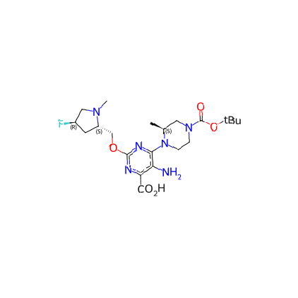 C[C@H]1CN(C(=O)OC(C)(C)C)CCN1c1nc(OC[C@@H]2C[C@@H](F)CN2C)nc(C(=O)O)c1N